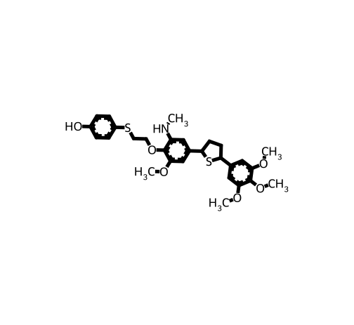 CNc1cc(C2CCC(c3cc(OC)c(OC)c(OC)c3)S2)cc(OC)c1OCCSc1ccc(O)cc1